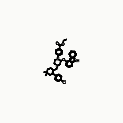 CCOC(=O)c1ccc(N2CCN(CC3=C(c4ccc(Cl)cc4)CC(C)(C)CC3)CC2Oc2cccc3[nH]c4ccccc4c23)cc1